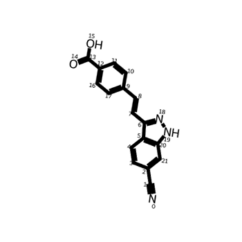 N#Cc1ccc2c(/C=C/c3ccc(C(=O)O)cc3)n[nH]c2c1